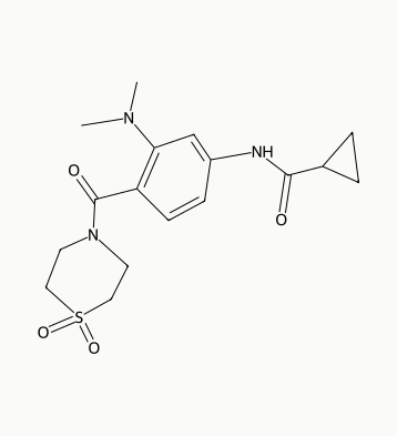 CN(C)c1cc(NC(=O)C2CC2)ccc1C(=O)N1CCS(=O)(=O)CC1